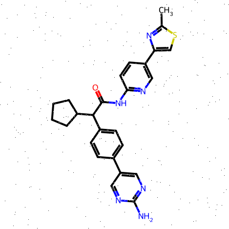 Cc1nc(-c2ccc(NC(=O)C(c3ccc(-c4cnc(N)nc4)cc3)C3CCCC3)nc2)cs1